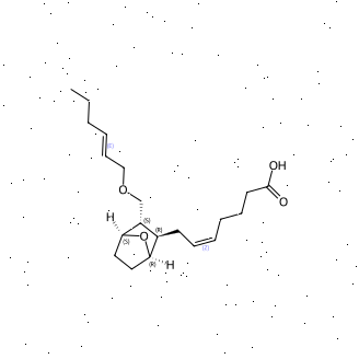 CCC/C=C/COC[C@@H]1[C@@H](C/C=C\CCCC(=O)O)[C@H]2CC[C@@H]1O2